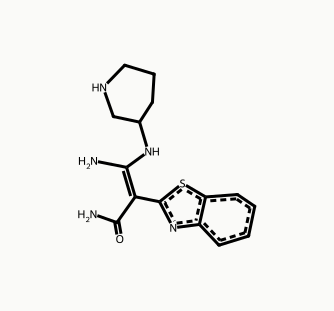 NC(=O)/C(=C(\N)NC1CCCNC1)c1nc2ccccc2s1